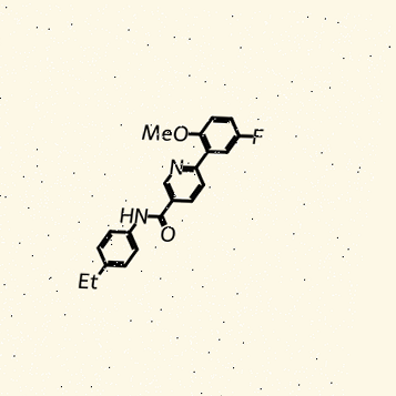 CCc1ccc(NC(=O)c2ccc(-c3cc(F)ccc3OC)nc2)cc1